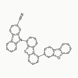 N#Cc1ccc2c3ccccc3n(-c3cccc4c3sc3cccc(-c5ccc6c(c5)oc5ccccc56)c34)c2c1